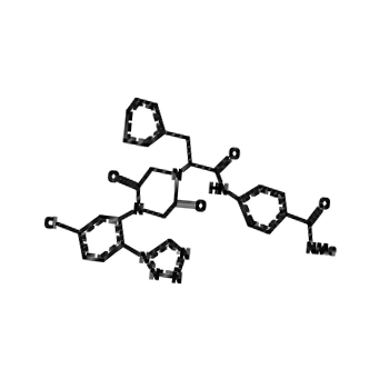 CNC(=O)c1ccc(NC(=O)C(Cc2ccccc2)N2CC(=O)N(c3cc(Cl)ccc3-n3cnnn3)CC2=O)cc1